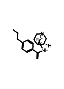 C=C(N[C@@H]1CN2CCC1CC2)c1ccc(CCC)cc1